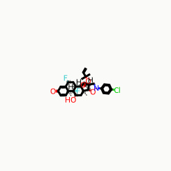 C=CC(C)(C)OC(=O)[C@@]12ON(c3ccc(Cl)cc3)C[C@@H]1C[C@H]1[C@@H]3C[C@H](F)C4=CC(=O)C=C[C@]4(C)[C@@]3(F)[C@@H](O)C[C@@]12C